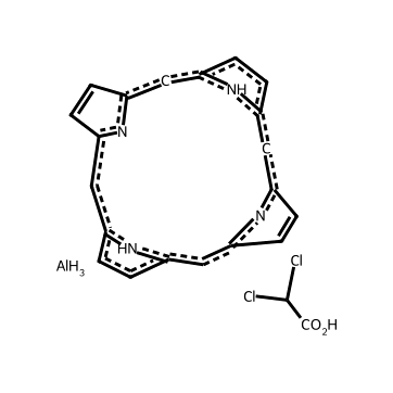 C1=Cc2cc3ccc(cc4nc(cc5ccc(cc1n2)[nH]5)C=C4)[nH]3.O=C(O)C(Cl)Cl.[AlH3]